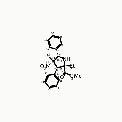 CC[C@]1(C(=O)OC)N[C@@H](c2ccccc2)[C@@](C)([N+](=O)[O-])[C@@H]1c1ccccc1